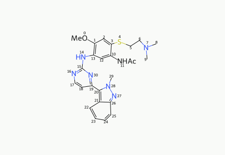 COc1cc(SCCN(C)C)c(NC(C)=O)cc1Nc1nccc(-c2c3ccccc3nn2C)n1